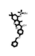 CC(C)c1nc2c(c(I)c1[C@@H](O)c1ccc(OCc3ccccc3)cc1)C(O[Si](C)(C)C(C)(C)C)CC(C)(C)C2